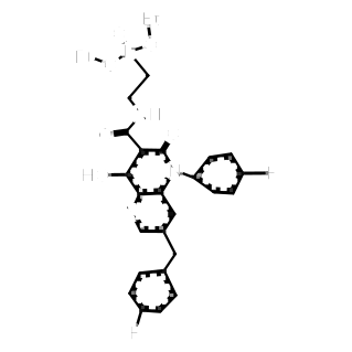 CCOP(=O)(CCNC(=O)c1c(O)c2ncc(Cc3ccc(F)cc3)cc2n(-c2ccc(F)cc2)c1=O)OCC